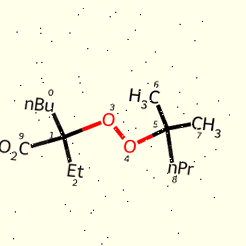 CCCCC(CC)(OOC(C)(C)CCC)C(=O)O